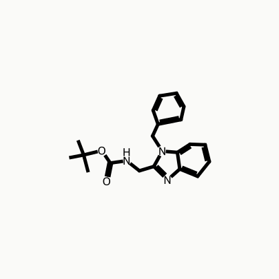 CC(C)(C)OC(=O)NCc1nc2ccccc2n1Cc1ccccc1